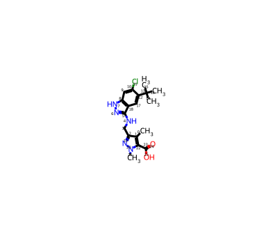 Cc1c(CNc2n[nH]c3cc(Cl)c(C(C)(C)C)cc23)nn(C)c1C(=O)O